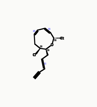 C#C/C=C/C[C@@H]1O[C@@H](CC)/C=C\C=C/C[C@@H]1Cl